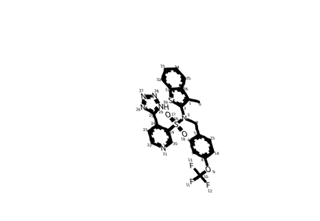 Cc1c(N(Cc2ccc(OC(F)(F)F)cc2)S(=O)(=O)c2cnccc2-c2nnn[nH]2)sc2ccccc12